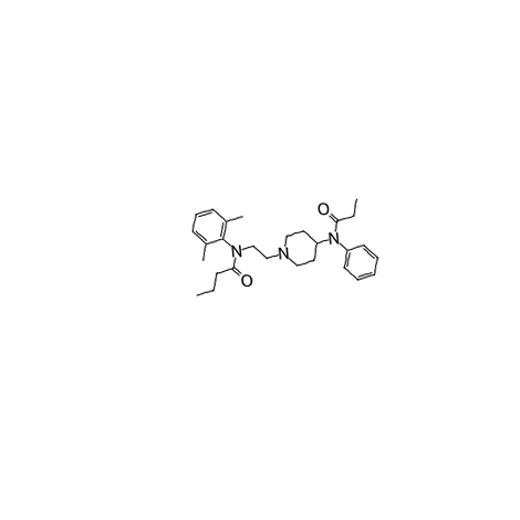 CCCC(=O)N(CCN1CCC(N(C(=O)CC)c2ccccc2)CC1)c1c(C)cccc1C